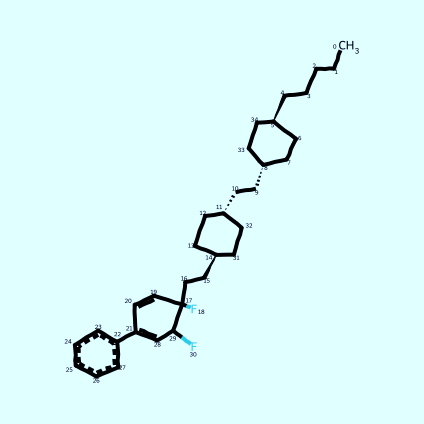 CCCCC[C@H]1CC[C@H](CC[C@H]2CC[C@H](CCC3(F)C=CC(c4ccccc4)=CC3F)CC2)CC1